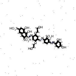 O=S(=O)(O)c1cc(O)c2c(O)c(/N=N/c3cc(OCCO)c(/N=N/c4ccc(/N=N/c5ccc(O)cc5O)cc4S(=O)(=O)O)cc3OCCO)c(S(=O)(=O)O)cc2c1